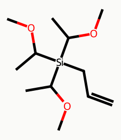 C=CC[Si](C(C)OC)(C(C)OC)C(C)OC